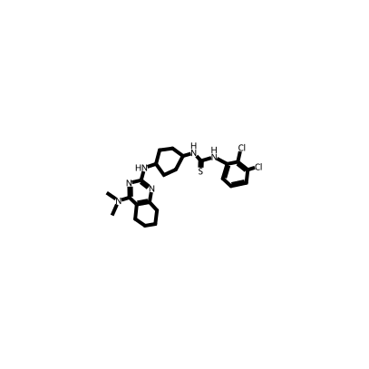 CN(C)c1nc(NC2CCC(NC(=S)Nc3cccc(Cl)c3Cl)CC2)nc2c1CCCC2